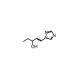 CCC(O)C=Cn1cncn1